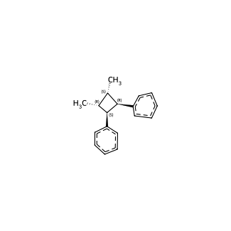 C[C@@H]1[C@H](C)[C@@H](c2ccccc2)[C@H]1c1ccccc1